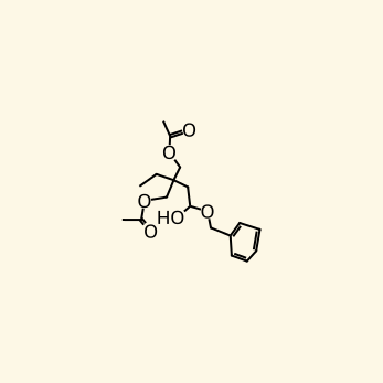 CCC(COC(C)=O)(COC(C)=O)CC(O)OCc1ccccc1